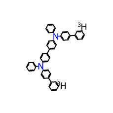 [3H]c1cccc(-c2ccc(N(c3ccccc3)c3ccc(-c4ccc(N(c5ccccc5)c5ccc(-c6cccc([3H])c6)cc5)cc4)cc3)cc2)c1